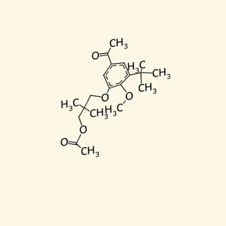 COc1c(OCC(C)(C)COC(C)=O)cc(C(C)=O)cc1C(C)(C)C